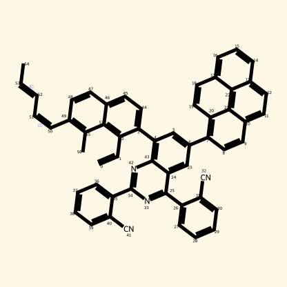 C=Cc1c(-c2cc(-c3ccc4ccc5cccc6ccc3c4c56)cc3c(-c4ccccc4C#N)nc(-c4ccccc4C#N)nc23)ccc2ccc(/C=C\C=C\C)c(C)c12